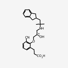 CC(C)(CC1Cc2ccccc2C1)NC[C@@H](O)COc1c(C#N)cccc1CCC(=O)O